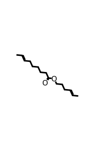 CC=CCCCOC(=O)CCCCC/C=C/C